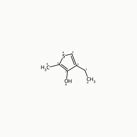 CCc1csc(C)c1O